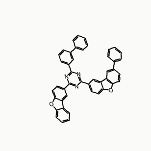 c1ccc(-c2cccc(-c3nc(-c4ccc5oc6ccccc6c5c4)nc(-c4ccc5oc6ccc(-c7ccccc7)cc6c5c4)n3)c2)cc1